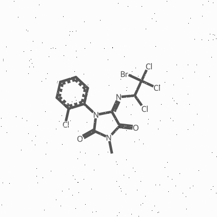 CN1C(=O)C(=NC(Cl)C(Cl)(Cl)Br)N(c2ccccc2Cl)C1=O